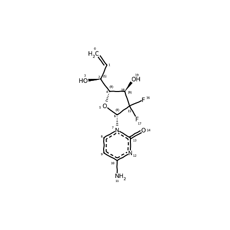 C=C[C@H](O)[C@H]1O[C@@H](n2ccc(N)nc2=O)C(F)(F)[C@@H]1O